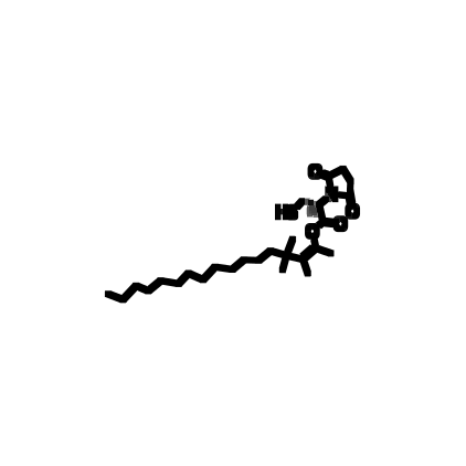 CCCCCCCCCCCCCC(C)(C)C(C)=C(C)OC(=O)[C@H](CS)N1C(=O)CCC1=O